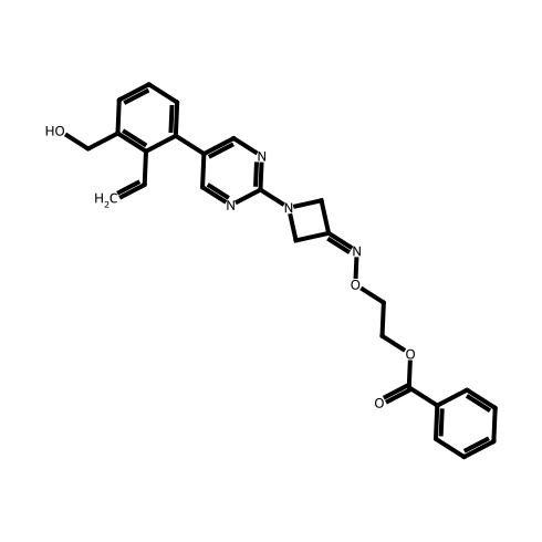 C=Cc1c(CO)cccc1-c1cnc(N2CC(=NOCCOC(=O)c3ccccc3)C2)nc1